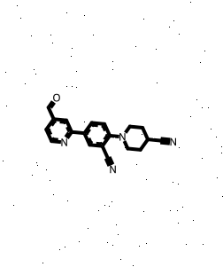 N#Cc1cc(-c2cc(C=O)ccn2)ccc1N1CCC(C#N)CC1